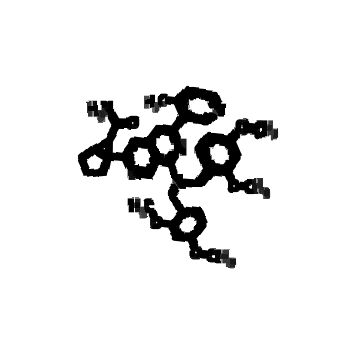 COc1ccc(CN(Cc2ccc(OC)cc2OC)c2nc(-c3cnccc3C)cc3cc(C45CCCC4C5C(N)=O)ncc23)c(OC)c1